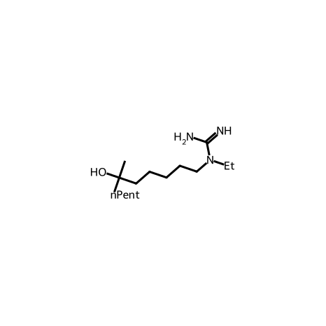 CCCCCC(C)(O)CCCCCN(CC)C(=N)N